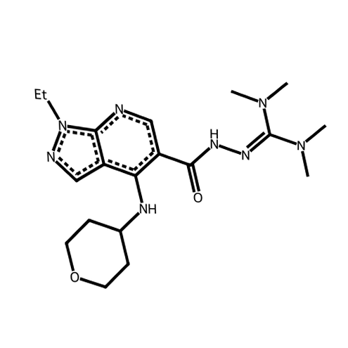 CCn1ncc2c(NC3CCOCC3)c(C(=O)NN=C(N(C)C)N(C)C)cnc21